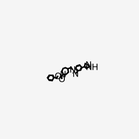 O=C(OCc1ccccc1)N1CCCC(Cn2cnc3cc(-c4cn[nH]c4)ccc32)CC1